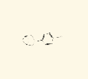 Nc1ccc(N2CC3CC(C2)O3)cc1